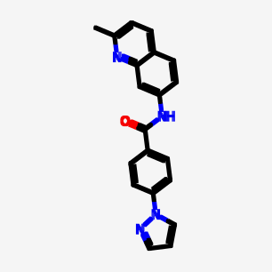 Cc1ccc2ccc(NC(=O)c3ccc(-n4cccn4)cc3)cc2n1